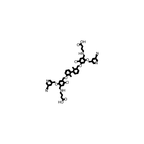 Cc1c(COc2cc(OCc3cncc(C#N)c3)c(CNCCCC(=O)O)cc2Cl)cccc1-c1cccc(OCc2cc(OCc3cncc(C#N)c3)c(CNCCCC(=O)O)cc2Cl)c1C